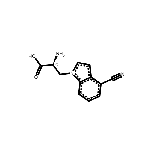 N#Cc1cccc2c1ccn2C[C@H](N)C(=O)O